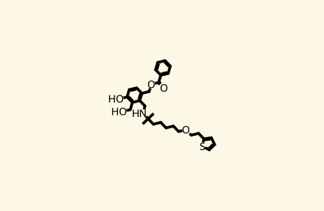 CC(C)(CCCCCOCCc1cccs1)NCc1c(COC(=O)c2ccccc2)ccc(O)c1CO